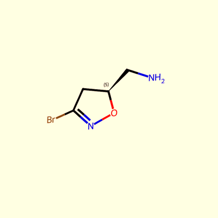 NC[C@@H]1CC(Br)=NO1